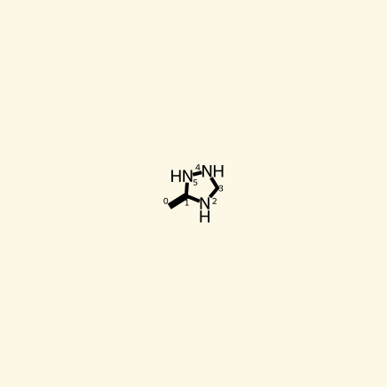 C=C1NCNN1